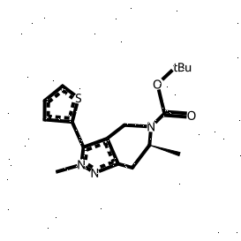 C[C@H]1Cc2nn(C)c(-c3cccs3)c2CN1C(=O)OC(C)(C)C